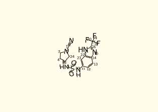 N#CN1CC[C@@H](NS(=O)(=O)Nc2ccc3nc(C(F)(F)F)[nH]c3c2)C1